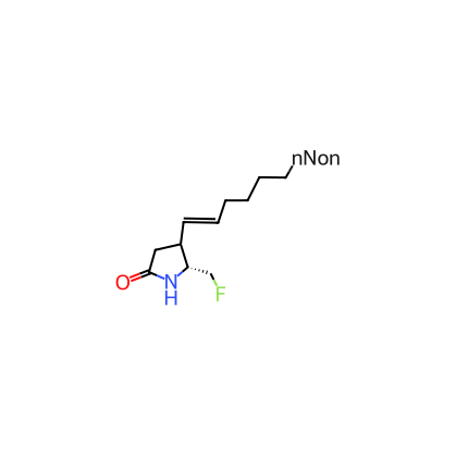 CCCCCCCCCCCCC/C=C/C1CC(=O)N[C@H]1CF